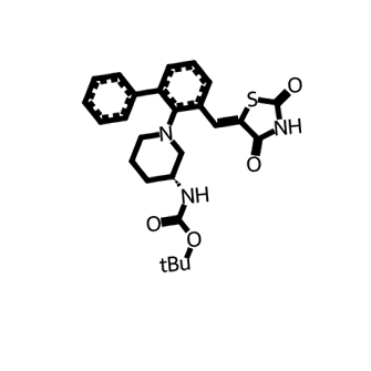 CC(C)(C)OC(=O)N[C@@H]1CCCN(c2c(C=C3SC(=O)NC3=O)cccc2-c2ccccc2)C1